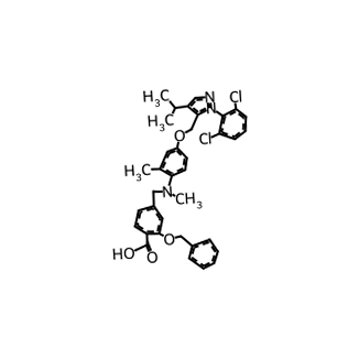 Cc1cc(OCc2c(C(C)C)cnn2-c2c(Cl)cccc2Cl)ccc1N(C)Cc1ccc(C(=O)O)c(OCc2ccccc2)c1